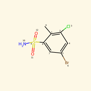 Cc1c(Cl)cc(Br)cc1S(N)(=O)=O